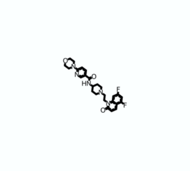 O=C(NC1CCN(CCn2c(=O)ccc3c(F)cc(F)cc32)CC1)c1ccc(N2CCOCC2)nc1